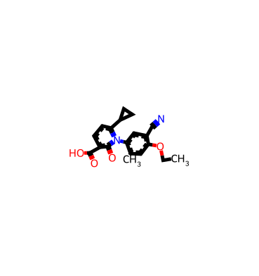 CCOc1cc(C)c(-n2c(C3CC3)ccc(C(=O)O)c2=O)cc1C#N